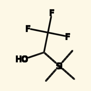 C[Si](C)(C)C(O)C(F)(F)F